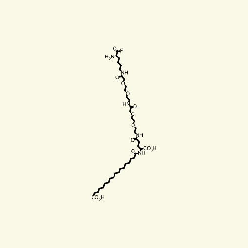 N[C@@H](CCCCNC(=O)COCCOCCNC(=O)COCCOCCNC(=O)CCC(NC(=O)CCCCCCCCCCCCCCCCC(=O)O)C(=O)O)C(=O)F